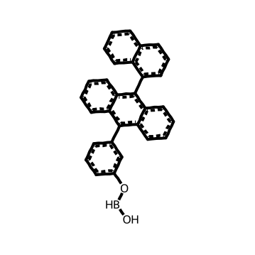 OBOc1cccc(-c2c3ccccc3c(-c3cccc4ccccc34)c3ccccc23)c1